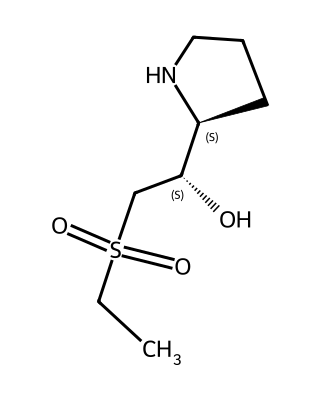 CCS(=O)(=O)C[C@@H](O)[C@@H]1CCCN1